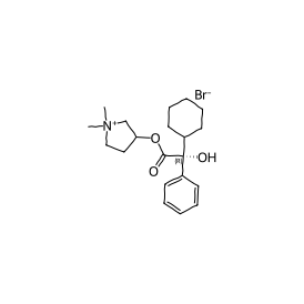 C[N+]1(C)CCC(OC(=O)[C@](O)(c2ccccc2)C2CCCCC2)C1.[Br-]